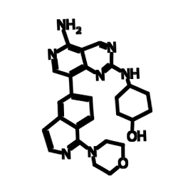 Nc1ncc(-c2ccc3c(N4CCOCC4)nccc3c2)c2nc(NC3CCC(O)CC3)ncc12